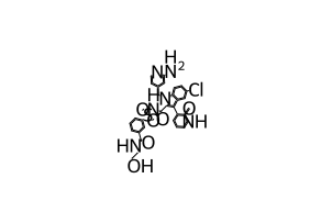 Nc1cc(Cn2c(C(=O)NS(=O)(=O)c3cccc(C(=O)NCCO)c3)c(-c3ccc[nH]c3=O)c3cc(Cl)ccc32)ccn1